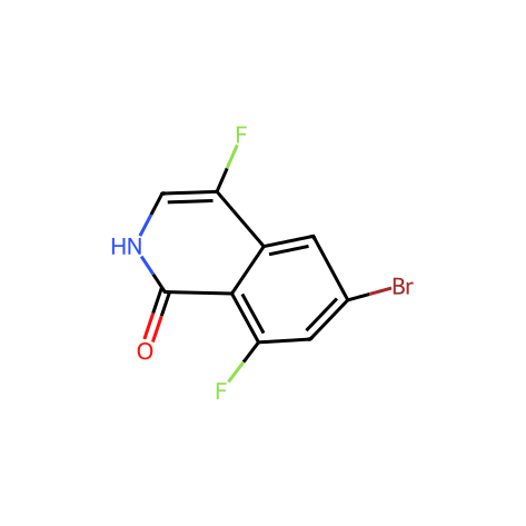 O=c1[nH]cc(F)c2cc(Br)cc(F)c12